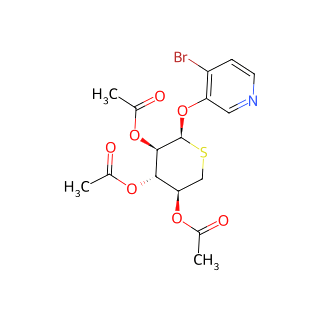 CC(=O)O[C@@H]1[C@@H](OC(C)=O)[C@@H](Oc2cnccc2Br)SC[C@H]1OC(C)=O